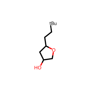 CC(C)(C)CCC1CC(O)CO1